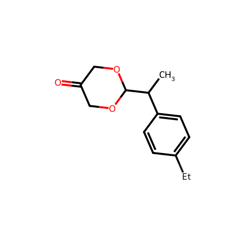 CCc1ccc(C(C)C2OCC(=O)CO2)cc1